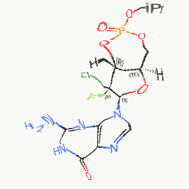 CC(C)OP1(=O)OC[C@H]2O[C@@H](n3cnc4c(=O)[nH]c(N)nc43)[C@](F)(Cl)[C@@H]2O1